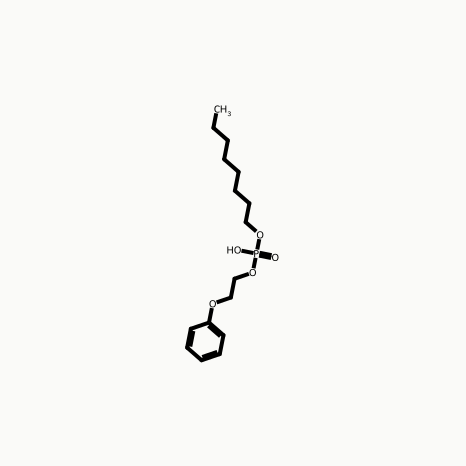 CCCCCCCCOP(=O)(O)OCCOc1ccccc1